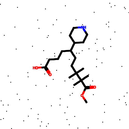 COC(=O)C(C)(C)C(C)(C)CCC(CCCC(=O)O)C1CCNCC1